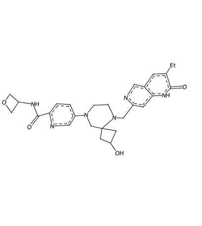 CCc1cc2cnc(CN3CCN(c4ccc(C(=O)NC5COC5)nc4)CC34CC(O)C4)cc2[nH]c1=O